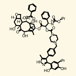 CC(=O)O[C@@]12CO[C@@H]1C[C@H](O)[C@@]1(C)C(=O)[C@H](O)C3=C(C)[C@@H](OC(=O)[C@H](OC(=O)N4CCN(Cc5ccc(-c6c(-c7cc(C(C)C)c(O)cc7O)n[nH]c6C)cc5)CC4)[C@@H](NC(=O)OC(C)C)c4ccccc4)C[C@@](O)([C@@H](OC(=O)c4ccccc4)[C@H]21)C3(C)C